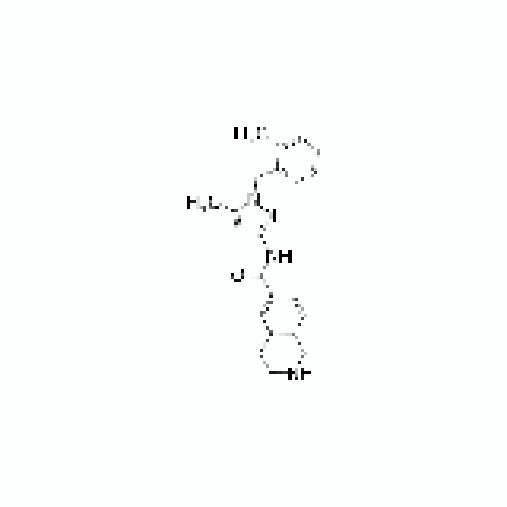 Cc1ccccc1Cn1nc(NC(=O)c2ccc3c(c2)CCNC3)cc1C